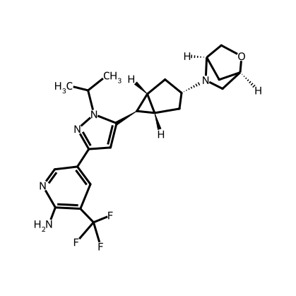 CC(C)n1nc(-c2cnc(N)c(C(F)(F)F)c2)cc1[C@H]1[C@@H]2C[C@H](N3C[C@H]4C[C@@H]3CO4)C[C@@H]21